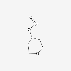 O=[SH]OC1CCOCC1